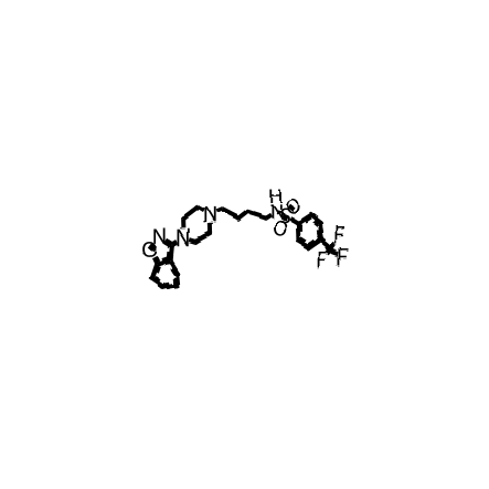 O=S(=O)(NCCCCN1CCN(c2noc3ccccc23)CC1)c1ccc(C(F)(F)F)cc1